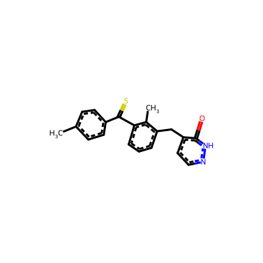 Cc1ccc(C(=S)c2cccc(Cc3ccn[nH]c3=O)c2C)cc1